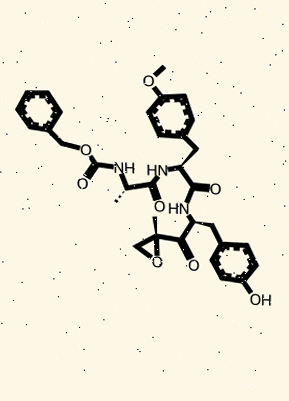 COc1ccc(C[C@H](NC(=O)[C@H](C)NC(=O)OCc2ccccc2)C(=O)N[C@@H](Cc2ccc(O)cc2)C(=O)[C@@]2(C)CO2)cc1